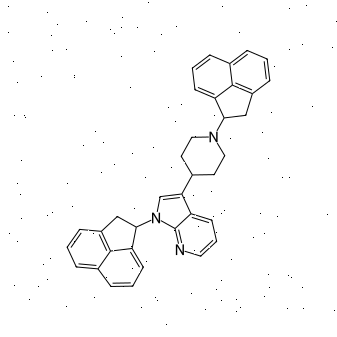 c1cc2c3c(cccc3c1)C(N1CCC(c3cn(C4Cc5cccc6cccc4c56)c4ncccc34)CC1)C2